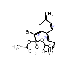 C=C(F)\C=C/C(=C\CF)/C=C(/Br)P(=O)(OC(C)C)OC(C)C